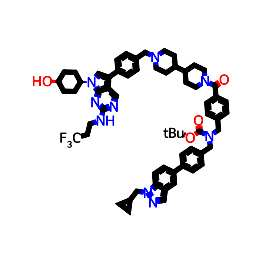 CC(C)(C)OC(=O)N(Cc1ccc(C(=O)N2CCC(C3CCN(Cc4ccc(-c5cn([C@H]6CC[C@H](O)CC6)c6nc(NCCC(F)(F)F)ncc56)cc4)CC3)CC2)cc1)Cc1ccc(-c2ccc3c(cnn3CC3CC3)c2)cc1